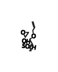 C1CO1.C=CCOCC=C.O=S(=O)(O)O